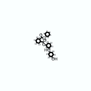 O=C(Oc1ccccc1)c1ccccc1C(=O)Oc1ccccc1.Oc1ccc(O)cc1